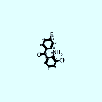 Nc1c(Cl)cccc1C(=O)c1ccc(F)cc1